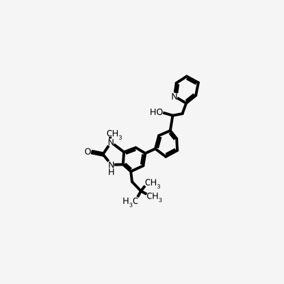 Cn1c(=O)[nH]c2c(CC(C)(C)C)cc(-c3cccc(C(O)Cc4ccccn4)c3)cc21